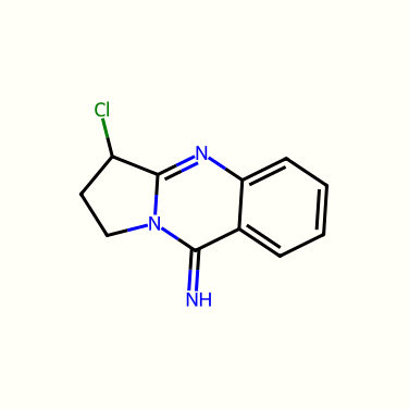 N=c1c2ccccc2nc2n1CCC2Cl